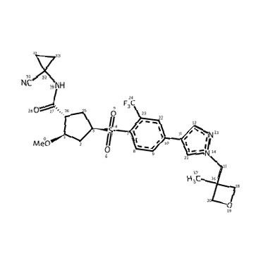 CO[C@@H]1C[C@H](S(=O)(=O)c2ccc(-c3cnn(CC4(C)COC4)c3)cc2C(F)(F)F)C[C@H]1C(=O)NC1(C#N)CC1